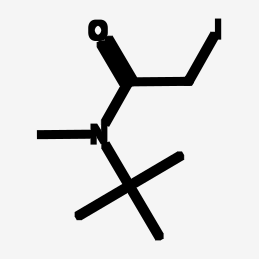 CN(C(=O)CI)C(C)(C)C